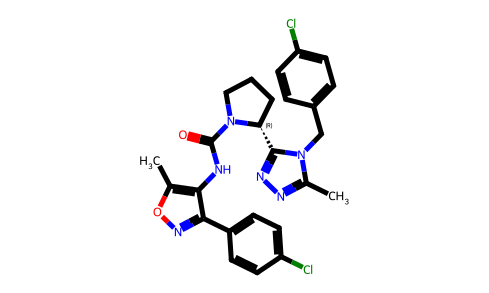 Cc1onc(-c2ccc(Cl)cc2)c1NC(=O)N1CCC[C@@H]1c1nnc(C)n1Cc1ccc(Cl)cc1